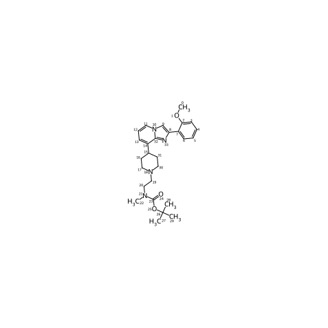 COc1ccccc1-c1cn2cccc(C3CCN(CCN(C)C(=O)OC(C)(C)C)CC3)c2n1